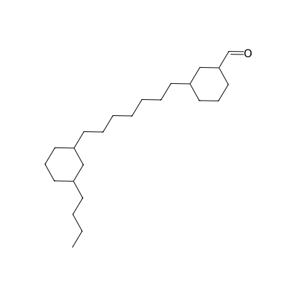 CCCCC1CCCC(CCCCCCCC2CCCC(C=O)C2)C1